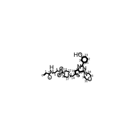 C=CC(=O)NCCS(=O)(=O)N1CCN(Cc2cc3nc(-c4cccc(O)c4)nc(N4CCOCC4)c3s2)CC1